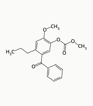 CCCc1cc(OC)c(OC(=O)OC)cc1C(=O)c1ccccc1